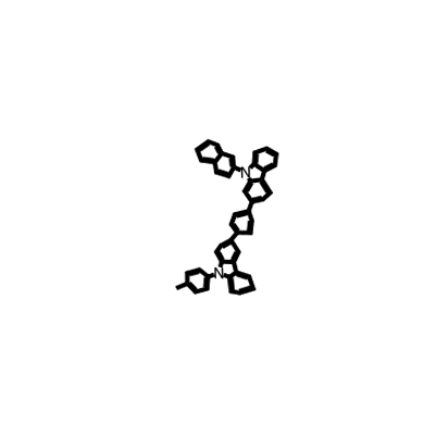 Cc1ccc(-n2c3ccccc3c3cc(-c4ccc(-c5ccc6c7ccccc7n(-c7ccc8ccccc8c7)c6c5)cc4)ccc32)cc1